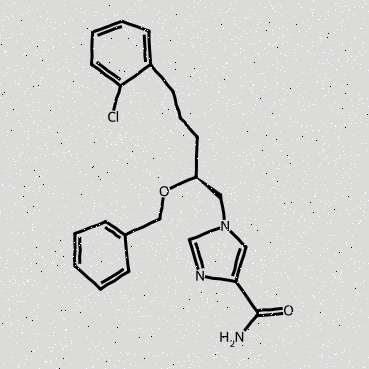 NC(=O)c1cn(C[C@H](CCCc2ccccc2Cl)OCc2ccccc2)cn1